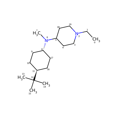 CCN1CCC(N(C)[C@H]2CC[C@H](C(C)(C)C)CC2)CC1